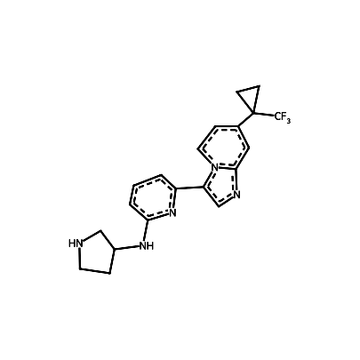 FC(F)(F)C1(c2ccn3c(-c4cccc(NC5CCNC5)n4)cnc3c2)CC1